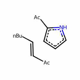 CC(=O)c1ccc[nH]1.CCCCC=CC(C)=O